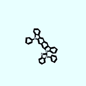 c1ccc(-n2c(-n3c4ccccc4c4cc5cc6c7ccccc7n(-c7ccccc7)c6cc5cc43)nc3ccccc32)cc1